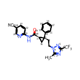 Cc1nc(C(F)(F)F)nn1CC[C@@]1(c2ccccc2)C[C@H]1C(=O)Nc1ccc(C#N)cn1